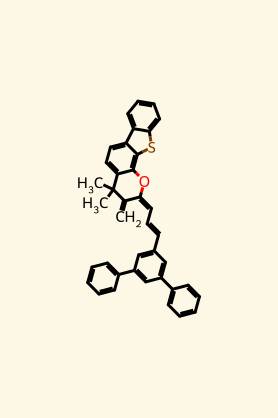 C=C1/C(=C\C=C\c2cc(-c3ccccc3)cc(-c3ccccc3)c2)Oc2c(ccc3c2sc2ccccc23)C1(C)C